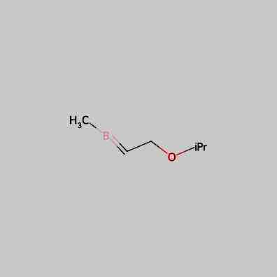 CB=CCOC(C)C